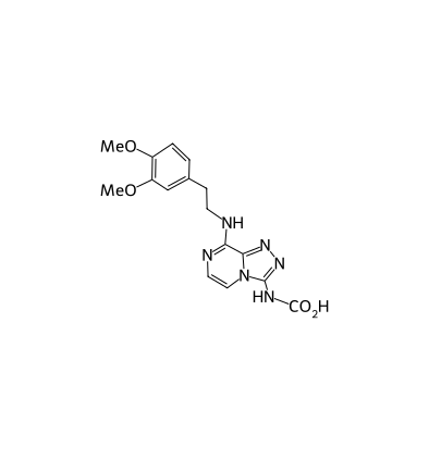 COc1ccc(CCNc2nccn3c(NC(=O)O)nnc23)cc1OC